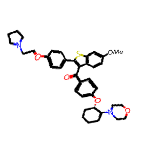 COc1ccc2c(C(=O)c3ccc(O[C@H]4CCCC[C@@H]4N4CCOCC4)cc3)c(-c3ccc(OCCN4CCCC4)cc3)sc2c1